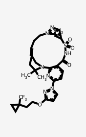 Cc1c2cnn1CC/C=C1\CN(c3nc(-n4ccc(OCCC5(C(F)(F)F)CC5)n4)ccc3C(=O)NS2(=O)=O)C(C)(C)C1